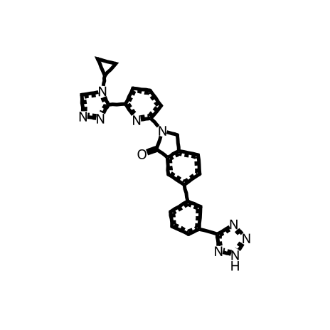 O=C1c2cc(-c3cccc(-c4nn[nH]n4)c3)ccc2CN1c1cccc(-c2nncn2C2CC2)n1